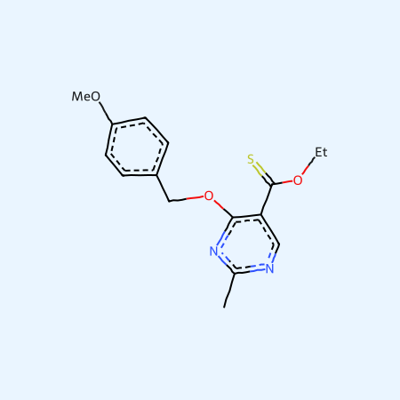 CCOC(=S)c1cnc(C)nc1OCc1ccc(OC)cc1